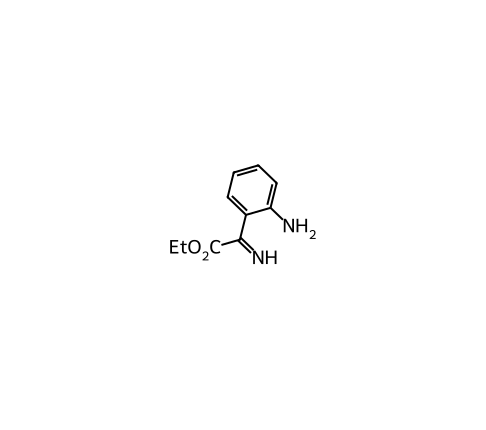 CCOC(=O)C(=N)c1ccccc1N